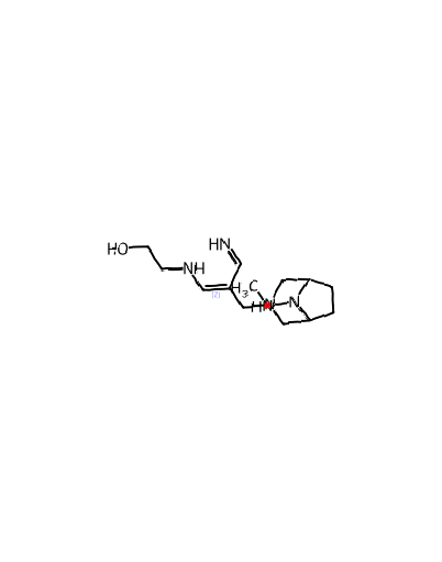 CNN1C2CCC1CN(C/C(C=N)=C/NCCO)C2